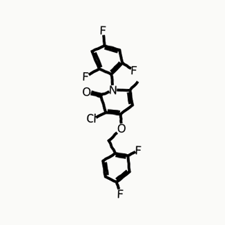 Cc1cc(OCc2ccc(F)cc2F)c(Cl)c(=O)n1-c1c(F)cc(F)cc1F